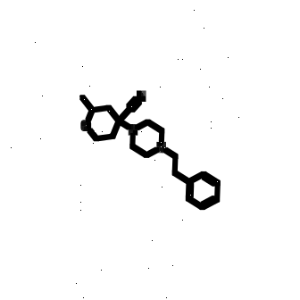 CC1CC(C#N)(N2CCN(CCc3ccccc3)CC2)CCO1